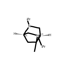 CC(C)N1C[C@H]2CC[C@@H]1C[N+]2(C)C(C)C